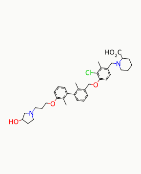 Cc1c(COc2ccc(CN3CCCCC3C(=O)O)c(C)c2Cl)cccc1-c1cccc(OCCCN2CCC(O)C2)c1C